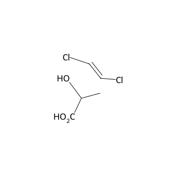 CC(O)C(=O)O.Cl/C=C/Cl